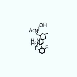 CC(=O)N(CCO)CC1CC(C)CC(/C=C(\N)c2c(F)cccc2F)=C1N